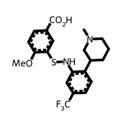 COc1ccc(C(=O)O)cc1SNc1cc(C(F)(F)F)ccc1C1CCCN(C)C1